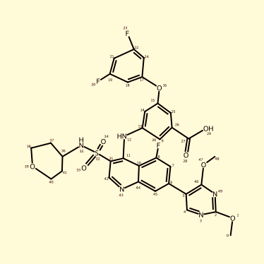 COc1ncc(-c2cc(F)c3c(Nc4cc(Oc5cc(F)cc(F)c5)cc(C(=O)O)c4)c(S(=O)(=O)NC4CCOCC4)cnc3c2)c(OC)n1